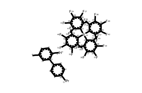 Cc1ccc([IH+])c(-c2ccc(C(C)C)cc2)c1.Fc1c(F)c(F)c([B-](c2c(F)c(F)c(F)c(F)c2F)(c2c(F)c(F)c(F)c(F)c2F)c2c(F)c(F)c(F)c(F)c2F)c(F)c1F